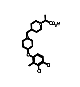 Cc1c(OC2CCN(CC3CCN(C(C)C(=O)O)CC3)CC2)ccc(Cl)c1Cl